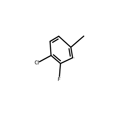 Cc1[c]c(F)c(Cl)cc1